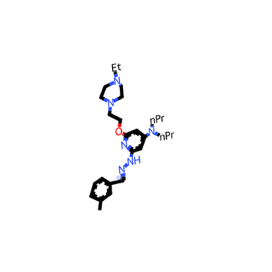 CCCN(CCC)c1cc(N/N=C/c2cccc(C)c2)nc(OCCN2CCN(CC)CC2)c1